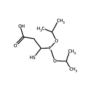 CC(C)OP(OC(C)C)C(S)CC(=O)O